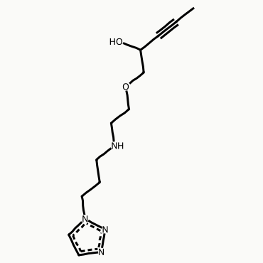 CC#CC(O)COCCNCCCn1ccnn1